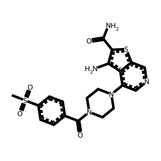 CS(=O)(=O)c1ccc(C(=O)N2CCN(c3cncc4sc(C(N)=O)c(N)c34)CC2)cc1